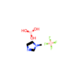 Cn1ccnc1.F[B-](F)(F)F.OB(O)O